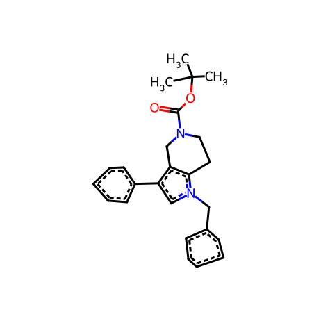 CC(C)(C)OC(=O)N1CCc2c(c(-c3ccccc3)cn2Cc2ccccc2)C1